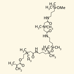 C=C(C)C(=O)OCC[N+](C)(C)CC(=O)NCCC[Si](C)(C)O[Si](C)(C)CCCNC(=O)C[N+](C)(C)CC(=O)NCCC[Si](C)(C)OC